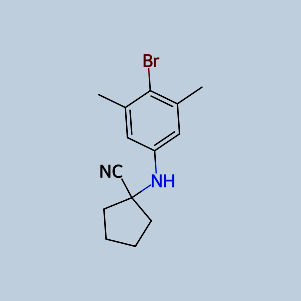 Cc1cc(NC2(C#N)CCCC2)cc(C)c1Br